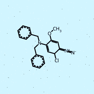 COC1=CC(=[N+]=[N-])C(Cl)C=C1N(Cc1ccccc1)Cc1ccccc1